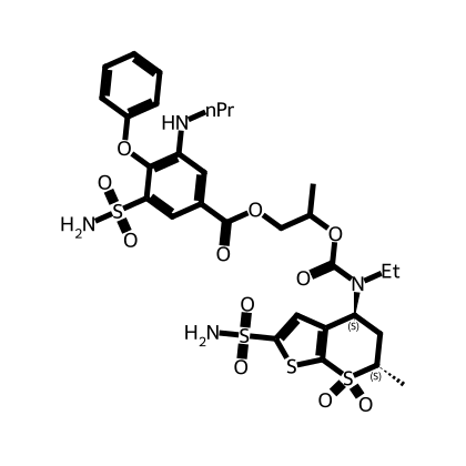 CCCNc1cc(C(=O)OCC(C)OC(=O)N(CC)[C@H]2C[C@H](C)S(=O)(=O)c3sc(S(N)(=O)=O)cc32)cc(S(N)(=O)=O)c1Oc1ccccc1